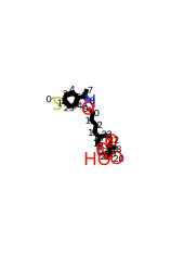 CSc1ccc(/C(C)=N\OCCCCC2COC(C)(C(=O)O)OC2)cc1